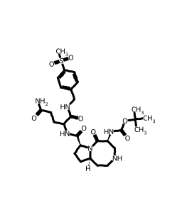 CC(C)(C)OC(=O)N[C@H]1CNCC[C@H]2CC[C@@H](C(=O)NC(CCC(N)=O)C(=O)NCc3ccc(S(C)(=O)=O)cc3)N2C1=O